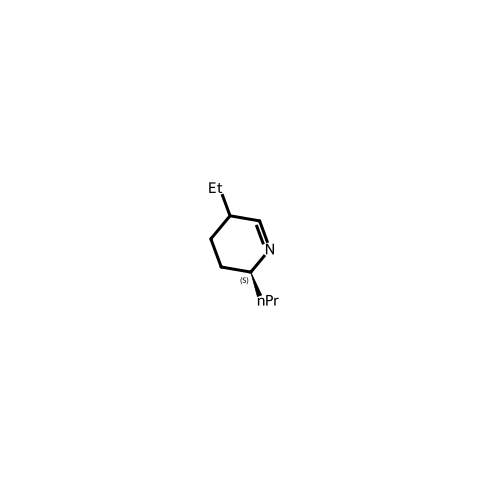 CCC[C@H]1CCC(CC)C=N1